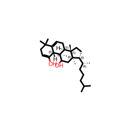 CC(C)CCC[C@@H](C)[C@H]1CC[C@@]2(C)[C@@H]3CC=C4[C@@H](C(O)=CCC4(C)C)[C@]3(C)C(O)C[C@]12C